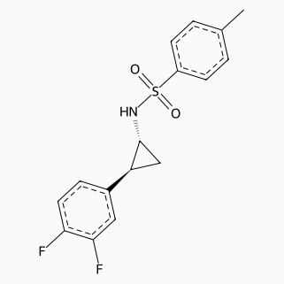 Cc1ccc(S(=O)(=O)N[C@@H]2C[C@H]2c2ccc(F)c(F)c2)cc1